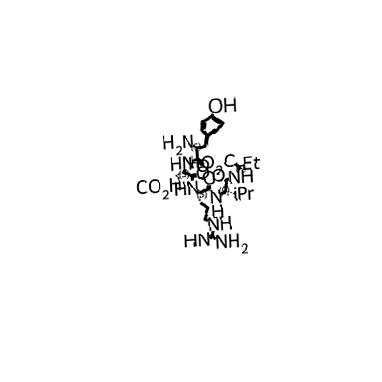 CC[C@H](NC(=O)[C@@H](NC(=O)[C@H](CCCNC(=N)N)NC(=O)[C@H](CC(=O)O)NC(=O)[C@@H](N)Cc1ccc(O)cc1)C(C)C)C(=O)O